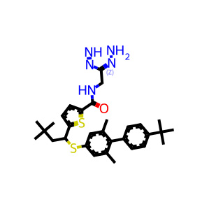 Cc1cc(SC(CC(C)(C)C)c2ccc(C(=O)NC/C(N=N)=N/N)s2)cc(C)c1-c1ccc(C(C)(C)C)cc1